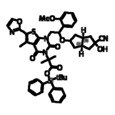 COc1ccccc1C(Cn1c(=O)n(C(C)(C)C(=O)O[Si](c2ccccc2)(c2ccccc2)C(C)(C)C)c(=O)c2c(C)c(-c3ncco3)sc21)OC1C[C@@H]2CC(O)(C#N)C[C@@H]2C1